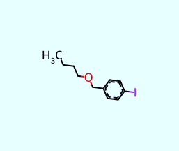 CCCCOCc1ccc(I)cc1